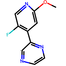 COc1cc(-c2[c]nccn2)c(F)cn1